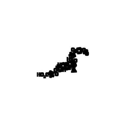 CC1(C)[C@@H](C(=O)N2CCC(OP(C)(C)=O)CC2)C[C@H]1NC(=O)[C@]12CC[C@@H](C3CC3)[C@@H]1[C@H]1CC[C@@H]3[C@@]4(C)CC[C@H](OC(=O)[C@H]5C[C@@H](C(=O)O)C5(C)C)C(C)(C)[C@@H]4CC[C@@]3(C)[C@]1(C)CC2